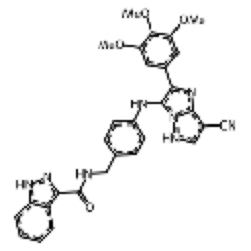 COc1cc(-c2nc3c(C#N)c[nH]n3c2Nc2ccc(CNC(=O)c3n[nH]c4ccccc34)cc2)cc(OC)c1OC